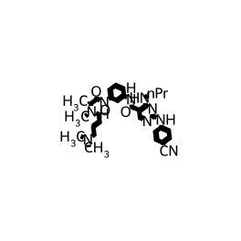 CCCNc1nc(Nc2ccc(C#N)cc2)ncc1C(=O)Nc1cccc(NC(=O)[C@H](C)N(C)C(=O)/C=C/CN(C)C)c1